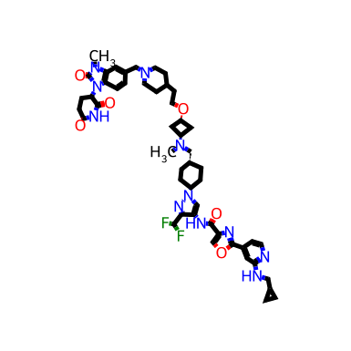 Cn1c(=O)n(C2CCC(=O)NC2=O)c2ccc(CN3CCC(CCO[C@H]4C[C@H](N(C)C[C@H]5CC[C@H](n6cc(NC(=O)c7coc(-c8ccnc(NCC9CC9)c8)n7)c(C(F)F)n6)CC5)C4)CC3)cc21